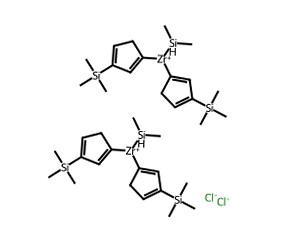 C[SiH](C)[Zr+]([C]1=CC([Si](C)(C)C)=CC1)[C]1=CC([Si](C)(C)C)=CC1.C[SiH](C)[Zr+]([C]1=CC([Si](C)(C)C)=CC1)[C]1=CC([Si](C)(C)C)=CC1.[Cl-].[Cl-]